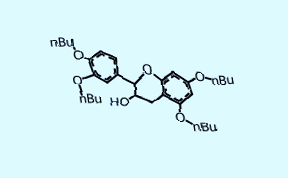 CCCCOc1cc(OCCCC)c2c(c1)OC(c1ccc(OCCCC)c(OCCCC)c1)C(O)C2